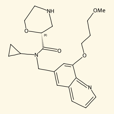 COCCCOc1cc(CN(C(=O)[C@H]2CNCCO2)C2CC2)cc2cccnc12